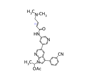 CC(=O)OC(C)n1cc(-c2cccc(C#N)c2)c2cc(-c3cncc(NC(=O)/C=C/CN(C)C)c3)cnc21